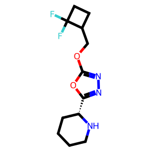 FC1(F)CCC1COc1nnc([C@H]2CCCCN2)o1